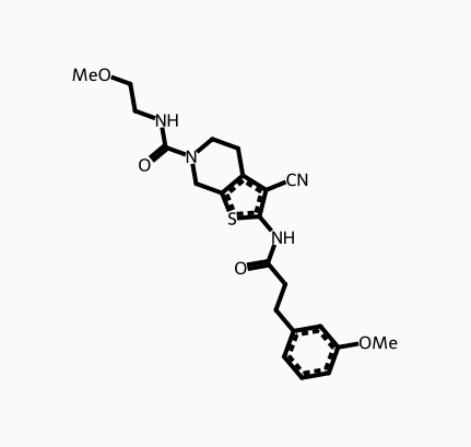 COCCNC(=O)N1CCc2c(sc(NC(=O)CCc3cccc(OC)c3)c2C#N)C1